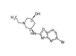 CCN1C[C@@H](O)C[C@@H](Nc2nc3nc(Br)ccc3o2)C1